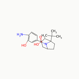 CC(C)(C)C12CCC(CC(c3ccc(N)c(O)c3)C1)N2C(=O)O